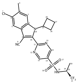 Cc1cc2c(cc1Cl)c(C#N)c(-c1ncc(S(=O)(=O)N[C@@H](C)C(F)(F)F)cn1)n2C1CCC1